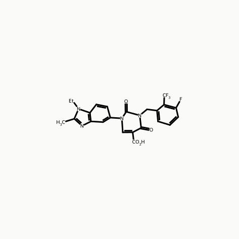 CCn1c(C)nc2cc(-n3cc(C(=O)O)c(=O)n(Cc4cccc(F)c4C(F)(F)F)c3=O)ccc21